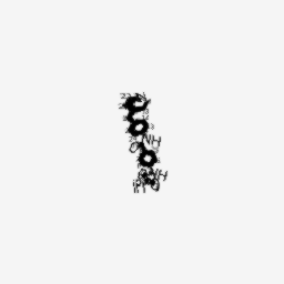 CC(C)S(=O)(=O)Nc1ccc(C(=O)Nc2ccc(Cc3ccncc3)cc2)cc1